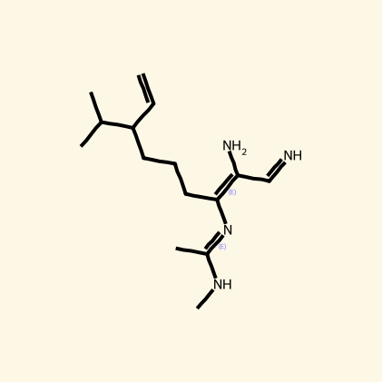 C=CC(CCCC(/N=C(\C)NC)=C(\N)C=N)C(C)C